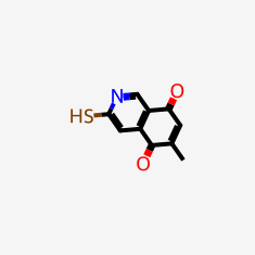 CC1=CC(=O)c2cnc(S)cc2C1=O